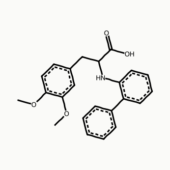 COc1ccc(CC(Nc2ccccc2-c2ccccc2)C(=O)O)cc1OC